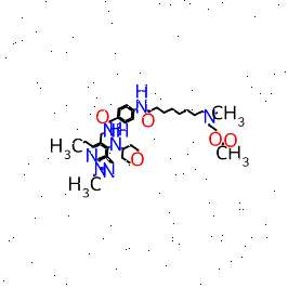 CCc1nc2c(cnn2CC)c(NC2CCOCC2)c1CNC(=O)c1ccc(NC(=O)CCCCCCCN(C)CCOC(C)=O)cc1